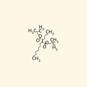 CCCCCCCCC(C(=O)OCC(C)C)=C(CCCC)C(=O)OCC(C)C